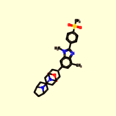 Cc1cc(C2CCN(C3CC4CCC(C3)N4C3CCOCC3)CC2)cc2c1nc(-c1ccc(S(C)(=O)=O)cc1)n2C